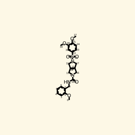 COc1ccccc1CNC(=O)N1CC2=C(C1)CN(S(=O)(=O)c1ccc(OC)c(OC)c1)C2